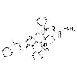 CN(c1ccccc1)c1ccc2c(-c3ccccc3S(=O)(=O)N3CCC(C(=O)NCN)CC3)c3cc/c(=[N+](\C)c4ccccc4)cc-3oc2c1